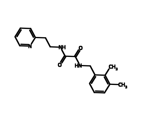 Cc1cccc(CNC(=O)C(=O)NCCc2ccccn2)c1C